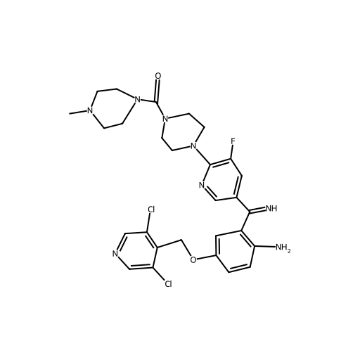 CN1CCN(C(=O)N2CCN(c3ncc(C(=N)c4cc(OCc5c(Cl)cncc5Cl)ccc4N)cc3F)CC2)CC1